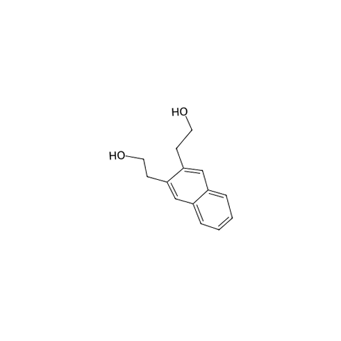 OCCc1cc2ccccc2cc1CCO